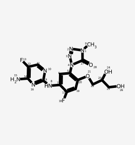 Cn1nnn(-c2cc(Nc3ncc(F)c(N)n3)c(F)cc2OCC(O)CO)c1=O